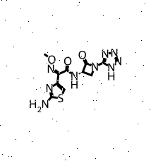 CO/N=C(\C(=O)N[C@H]1CN(c2nnn[nH]2)C1=O)c1csc(N)n1